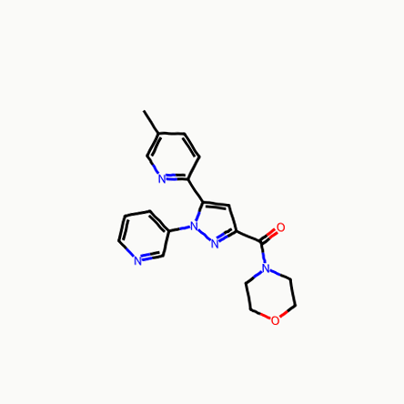 Cc1ccc(-c2cc(C(=O)N3CCOCC3)nn2-c2cccnc2)nc1